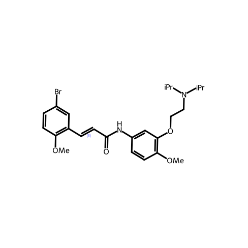 COc1ccc(Br)cc1/C=C/C(=O)Nc1ccc(OC)c(OCCN(C(C)C)C(C)C)c1